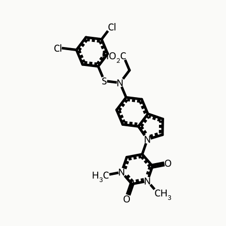 Cn1cc(-n2ccc3cc(N(CC(=O)O)Sc4cc(Cl)cc(Cl)c4)ccc32)c(=O)n(C)c1=O